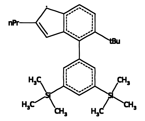 CCCC1=Cc2c(ccc(C(C)(C)C)c2-c2cc([Si](C)(C)C)cc([Si](C)(C)C)c2)[CH]1